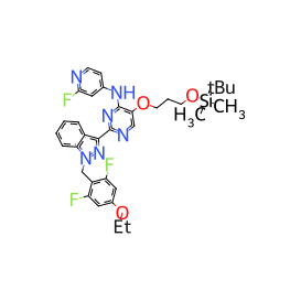 CCOc1cc(F)c(Cn2nc(-c3ncc(OCCCO[Si](C)(C)C(C)(C)C)c(Nc4ccnc(F)c4)n3)c3ccccc32)c(F)c1